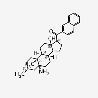 C[C@H]1CC[C@]2(C)[C@H]3CC[C@@]4(C)C(CC[C@@H]4C(=O)c4ccc5ccccc5c4)[C@@H]3CC[C@]2(N)C1